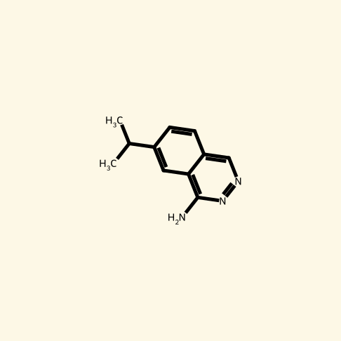 CC(C)c1ccc2cnnc(N)c2c1